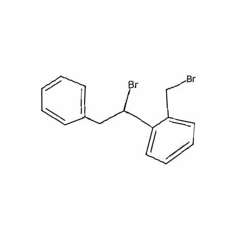 BrCc1ccccc1C(Br)Cc1ccccc1